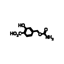 NC(=O)OCc1ccc(C(=O)O)c(O)c1